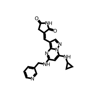 O=C1CC(=Cc2cnn3c(NC4CC4)cc(NCc4cccnc4)nc23)C(=O)N1